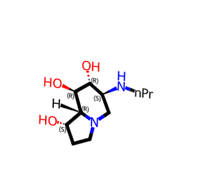 CCCN[C@H]1CN2CC[C@H](O)[C@@H]2[C@@H](O)[C@@H]1O